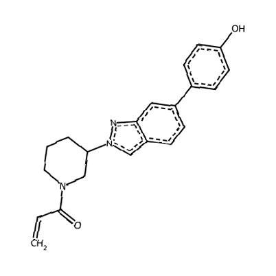 C=CC(=O)N1CCCC(n2cc3ccc(-c4ccc(O)cc4)cc3n2)C1